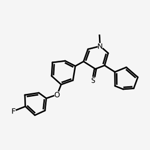 Cn1cc(-c2ccccc2)c(=S)c(-c2cccc(Oc3ccc(F)cc3)c2)c1